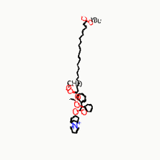 CC(OC(=O)CCCCCCCCCCCCCCCCCCC(=O)OC(C)(C)C)OC(C(=O)OC1CC2CCC(C1)[N+]21CCCC1)(c1ccccc1)c1ccccc1.O=C[O-]